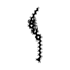 CCCCCCCC1Oc2ccc(-c3ncc(-c4ccc(CCCCCCCCCC5CC5)cc4)cn3)c(F)c2C1(F)F